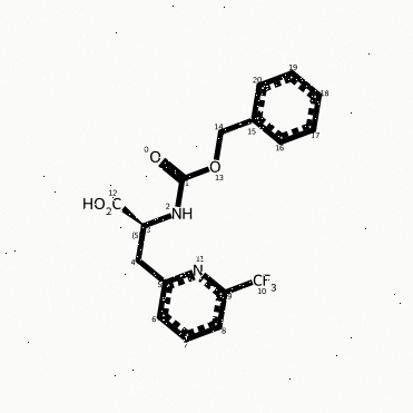 O=C(N[C@@H](Cc1cccc(C(F)(F)F)n1)C(=O)O)OCc1ccccc1